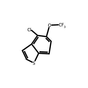 FC(F)(F)Oc1ccc2s[c]cc2c1Cl